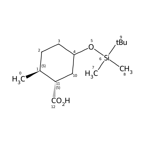 C[C@H]1CCC(O[Si](C)(C)C(C)(C)C)C[C@@H]1C(=O)O